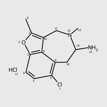 Cc1oc2ccc(Cl)c3c2c1CN(C)C(N)C3.Cl